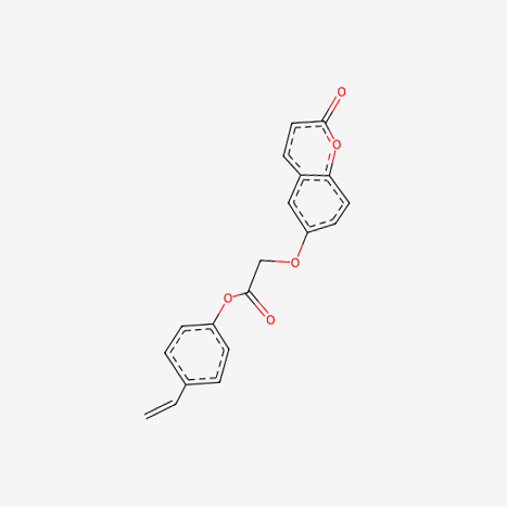 C=Cc1ccc(OC(=O)COc2ccc3oc(=O)ccc3c2)cc1